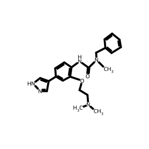 CN(C)CCOc1cc(-c2cn[nH]c2)ccc1NC(=O)N(C)Cc1ccccc1